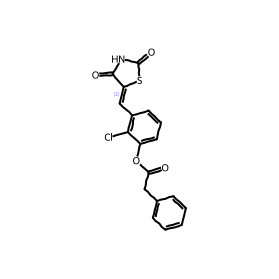 O=C(Cc1ccccc1)Oc1cccc(/C=C2\SC(=O)NC2=O)c1Cl